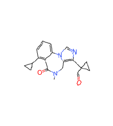 CN1Cc2c(C3(C=O)CC3)ncn2-c2cccc(C3CC3)c2C1=O